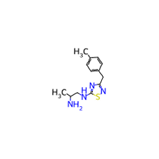 Cc1ccc(Cc2nsc(NCC(C)N)n2)cc1